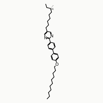 CCCCCCCCCCCOc1ccc(-c2ccc(-c3ncc(CCCCCC[C@@H](C)CC)cn3)cc2)cc1